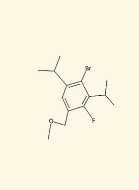 COCc1cc(C(C)C)c(Br)c(C(C)C)c1F